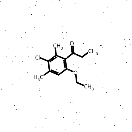 CCOc1cc(C)c(Cl)c(C)c1C(=O)CC